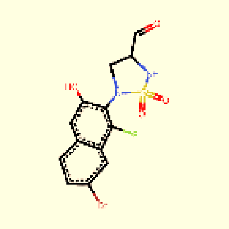 O=CC1CN(c2c(O)cc3ccc(Br)cc3c2F)S(=O)(=O)N1